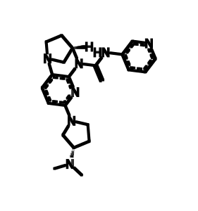 C=C(Nc1cccnc1)N1c2nc(N3CC[C@H](N(C)C)C3)ccc2N2CC[C@H]1C2